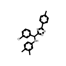 Cc1ccc(-c2noc(C(Nc3ccc(C)c(C)c3)c3cccc(Cl)c3)n2)cc1